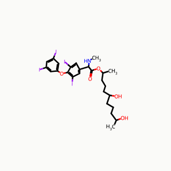 CNC(C(=O)OC(C)CCCC(O)CCCC(C)O)c1cc(I)c(Oc2cc(I)cc(I)c2)c(I)c1